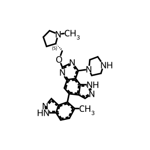 Cc1ccc2[nH]ncc2c1-c1cc2nc(OC[C@@H]3CCCN3C)nc(N3CCNCC3)c2c2[nH]ncc12